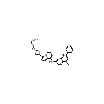 COCCOC1CC(c2ncc3c(Nc4ccc5c(C)cc(-c6ccccc6)nc5c4)nccn23)C1